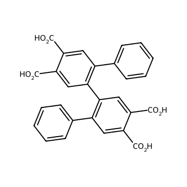 O=C(O)c1cc(-c2ccccc2)c(-c2cc(C(=O)O)c(C(=O)O)cc2-c2ccccc2)cc1C(=O)O